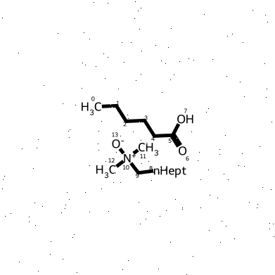 CCCCCC(=O)O.CCCCCCCC[N+](C)(C)[O-]